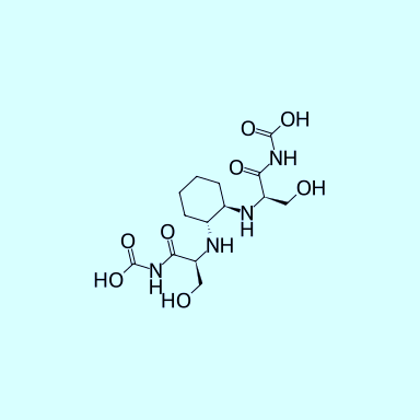 O=C(O)NC(=O)[C@H](CO)N[C@@H]1CCCC[C@H]1N[C@H](CO)C(=O)NC(=O)O